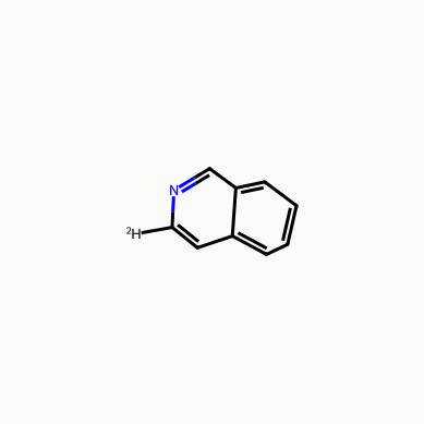 [2H]c1cc2ccccc2cn1